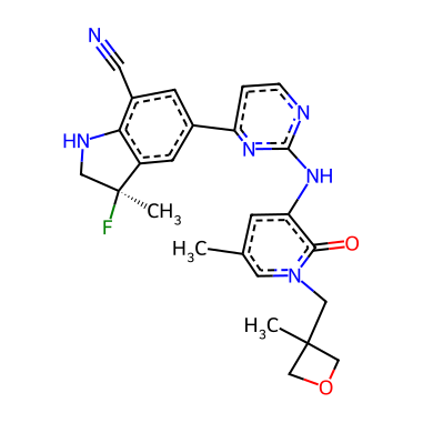 Cc1cc(Nc2nccc(-c3cc(C#N)c4c(c3)[C@@](C)(F)CN4)n2)c(=O)n(CC2(C)COC2)c1